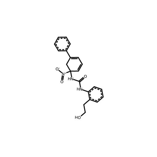 O=C(Nc1ccccc1CCO)NC1([N+](=O)[O-])C=CC=C(c2ccccc2)C1